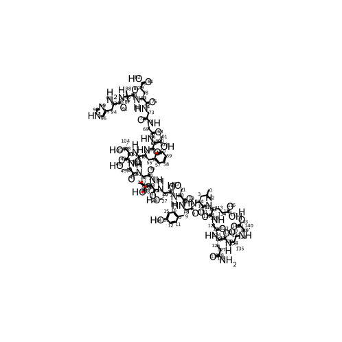 CC(C)C[C@H](NC(=O)[C@H](Cc1ccc(O)cc1)NC(=O)[C@H](CO)NC(=O)[C@H](CO)NC(=O)[C@@H](NC(=O)[C@H](CC(=O)O)NC(=O)[C@H](CO)NC(=O)[C@@H](NC(=O)[C@H](Cc1ccccc1)NC(=O)[C@@H](NC(=O)CNC(=O)CNC(=O)[C@H](CCC(=O)O)NC(=O)C(C)(C)NC(=O)[C@@H](N)Cc1c[nH]cn1)[C@@H](C)O)[C@@H](C)O)C(C)C)C(=O)N[C@@H](CCC(=O)O)C(=O)NCC(=O)N[C@@H](CCC(N)=O)C(=O)N[C@@H](C)C(=O)N[C@@H](C)C(=O)O